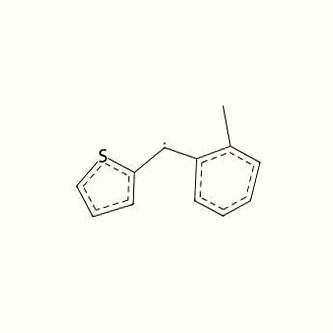 Cc1ccccc1[CH]c1cccs1